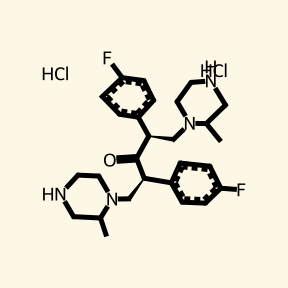 CC1CNCCN1C[C@@H](C(=O)[C@H](CN1CCNCC1C)c1ccc(F)cc1)c1ccc(F)cc1.Cl.Cl